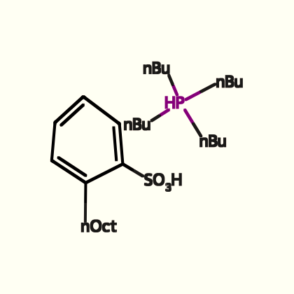 CCCCCCCCc1ccccc1S(=O)(=O)O.CCCC[PH](CCCC)(CCCC)CCCC